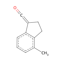 Cc1cccc2c1CCC2=C=O